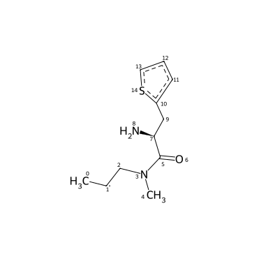 C[CH]CN(C)C(=O)[C@@H](N)Cc1cccs1